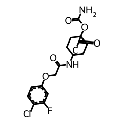 NC(=O)OC12CCC(NC(=O)COc3ccc(Cl)c(F)c3)(CC1)CC2=O